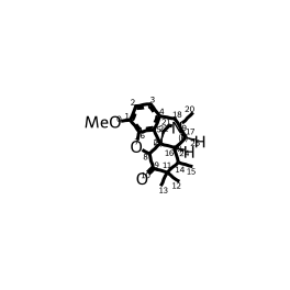 COc1ccc2c3c1OC1C(=O)C(C)(C)C(C)[C@H]4[C@@H](C2)N(C)CC[C@]314